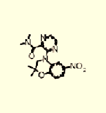 CN(C)C(=O)c1nccnc1N1CC(C)(C)Oc2ccc([N+](=O)[O-])cc21